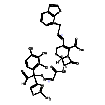 Nc1nc(C(O/N=C\C(=O)N[C@H]2C(=O)N3C(C(=O)O)=C(/C=C/C[n+]4cccc5ccsc54)CS[C@H]23)(C(=O)O)c2ccc(O)c(O)c2Cl)cs1